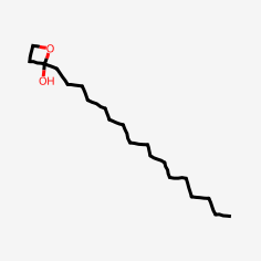 CCCCCCCCCCCCCCCCCC1(O)CCO1